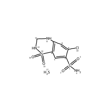 NS(=O)(=O)c1cc2c(cc1Cl)NCNS2(=O)=O.S